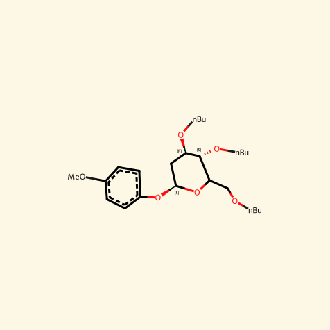 CCCCOCC1O[C@@H](Oc2ccc(OC)cc2)C[C@@H](OCCCC)[C@@H]1OCCCC